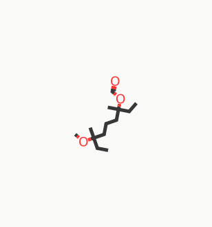 CCC(C)(CCCC(C)(CC)OC=O)OC